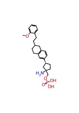 COc1ccccc1CCC1CCc2cc([C@H]3CC[C@](N)(COP(=O)(O)O)C3)ccc2C1